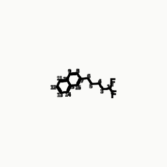 FC(F)CCCCc1ccc2ccccc2c1